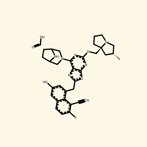 C#Cc1c(F)ccc2cc(O)cc(Cc3nc4c(N5CC6CCC(C5)N6)nc(OC[C@@]56CCCN5C[C@H](F)C6)nc4s3)c12.O=CO